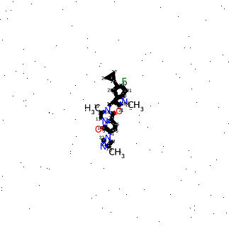 Cc1cn(-c2ccc3n(c2=O)C[C@H](C)N(Cc2cn(C)c4cc(F)c(C5CC5)cc24)C3=O)cn1